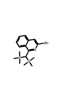 CC(C)(C)c1cc2ccccc2c(C([Si](C)(C)C)[Si](C)(C)C)n1